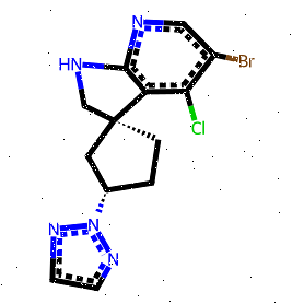 Clc1c(Br)cnc2c1[C@]1(CC[C@H](n3nccn3)C1)CN2